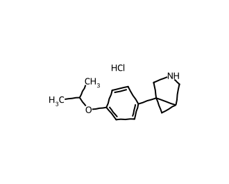 CC(C)Oc1ccc(C23CNCC2C3)cc1.Cl